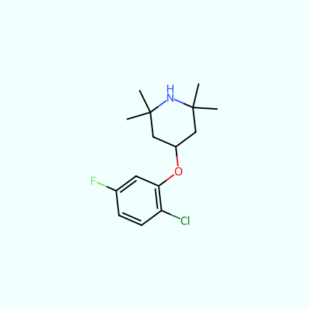 CC1(C)CC(Oc2cc(F)ccc2Cl)CC(C)(C)N1